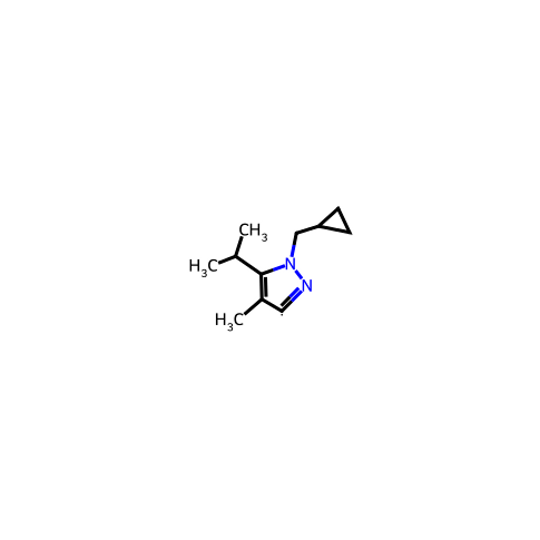 Cc1[c]nn(CC2CC2)c1C(C)C